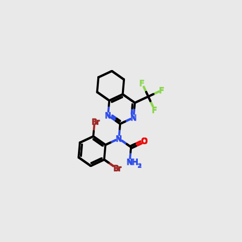 NC(=O)N(c1nc2c(c(C(F)(F)F)n1)CCCC2)c1c(Br)cccc1Br